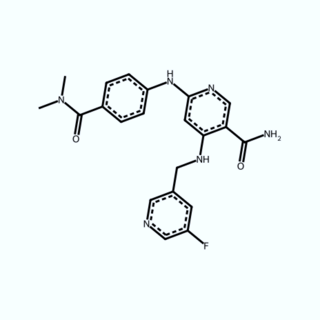 CN(C)C(=O)c1ccc(Nc2cc(NCc3cncc(F)c3)c(C(N)=O)cn2)cc1